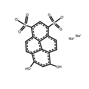 O=S(=O)([O-])c1cc(S(=O)(=O)[O-])c2ccc3c(O)cc(O)c4ccc1c2c43.[Na+].[Na+]